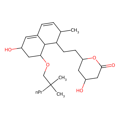 CCCC(C)(C)COC1CC(O)C=C2C=CC(C)C(CCC3CC(O)CC(=O)O3)C21